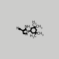 CC1(C)CC(n2ncc(C#N)c2N)CC(C)(C)C1